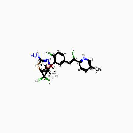 CC(C)(O)[C@@]12SC(N)=N[C@](C)(c3cc(/C=C(\F)c4ccc(C#N)cn4)ccc3F)[C@@H]1C2(F)F